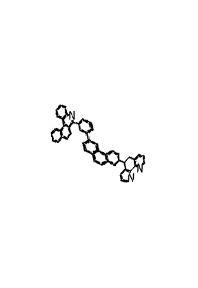 c1cc(-c2ccc3ccc4cc(C5Cc6cccnc6-c6ncccc65)ccc4c3c2)cc(-c2nc3ccccc3c3c2ccc2ccccc23)c1